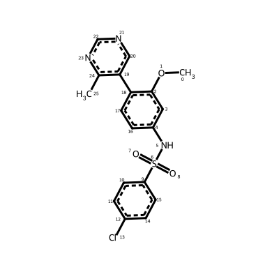 COc1cc(NS(=O)(=O)c2ccc(Cl)cc2)ccc1-c1cncnc1C